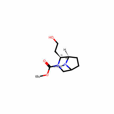 CCCCCCCN1C2CC[C@@H]1[C@H](CCO)N(C(=O)OC(C)(C)C)C2